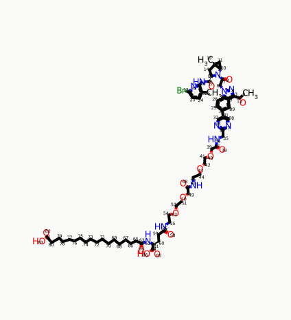 CC(=O)c1nn(CC(=O)N2C3C[C@]3(C)C[C@H]2C(=O)Nc2nc(Br)ccc2C)c2ccc(-c3cnc(CNC(=O)COCCOCCNC(=O)COCCOCCNC(=O)CC[C@H](NC(=O)CCCCCCCCCCCCCCCCC(=O)O)C(=O)O)nc3)cc12